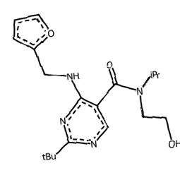 CC(C)N(CCO)C(=O)c1cnc(C(C)(C)C)nc1NCc1ccco1